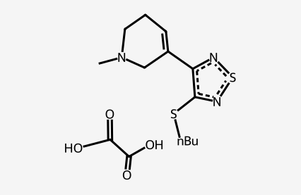 CCCCSc1nsnc1C1=CCCN(C)C1.O=C(O)C(=O)O